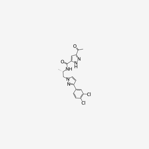 CC(=O)c1cc(C(=O)N[C@@H](C)Cn2ccc(-c3ccc(Cl)c(Cl)c3)n2)[nH]n1